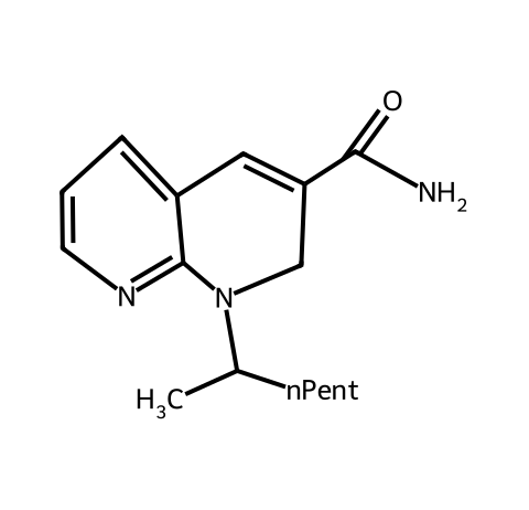 CCCCCC(C)N1CC(C(N)=O)=Cc2cccnc21